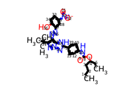 CCCCC(CC)OC(=O)Nc1ccc(-c2nn3nc(C(C)(C)C)c(N=Nc4cc([N+](=O)[O-])ccc4O)c3[nH]2)cc1